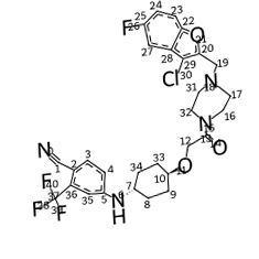 N#Cc1ccc(N[C@H]2CC[C@H](OCC(=O)N3CCN(Cc4oc5ccc(F)cc5c4Cl)CC3)CC2)cc1C(F)(F)F